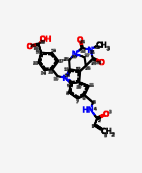 C=CC(=O)NCc1ccc2c(c1)c1c(n2Cc2ccc(C(=O)O)cc2)CN2CC1C(=O)N(C)C2=O